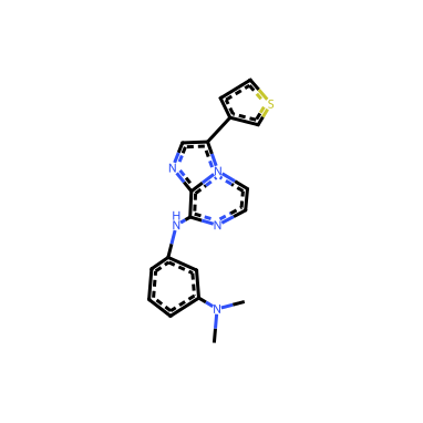 CN(C)c1cccc(Nc2nccn3c(-c4ccsc4)cnc23)c1